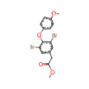 COC(=O)Cc1cc(Br)c(Oc2ccc(OC)cc2)c(Br)c1